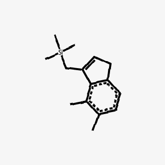 Cc1ccc2c(c1C)C(C[Si](C)(C)C)=CC2